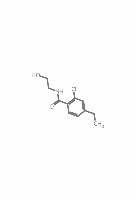 CCc1ccc(C(=O)NCCO)c(Cl)c1